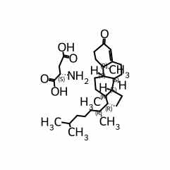 CC(C)CCC[C@@H](C)[C@H]1CC[C@H]2[C@@H]3CCC4=CC(=O)CC[C@]4(C)[C@H]3CC[C@]12C.N[C@@H](CC(=O)O)C(=O)O